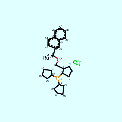 [Cl-].[Cl-].[Ru+2]=[C](OCC1CCCC1P(C1CCCC1)C1CCCC1)c1ccc2ccccc2c1